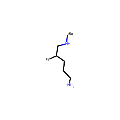 CCCCNCC(CC)CCCN